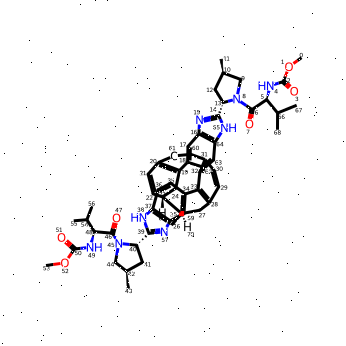 COC(=O)N[C@H](C(=O)N1C[C@H](C)C[C@H]1c1nc2cc(C3=C4C=C[C@H](C3)[C@H](C)Cc3ccc(cc3-c3ccc5[nH]c([C@@H]6C[C@@H](C)CN6C(=O)[C@@H](NC(=O)OC)C(C)C)nc5c3)CC4)ccc2[nH]1)C(C)C